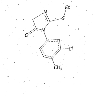 CCSC1=NCC(=O)N1c1ccc(C)c(Cl)c1